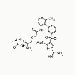 CSc1sc(C(=N)N)cc1S(=O)(=O)c1cccc(-c2c(C)cccc2NC(=O)CSCC(N)=O)c1.O=C(O)C(F)(F)F